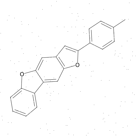 Cc1ccc(-c2cc3cc4oc5ccccc5c4cc3o2)cc1